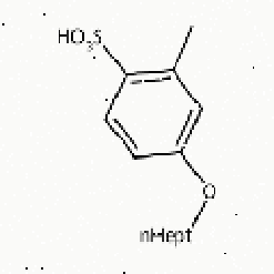 CCCCCCCOc1ccc(S(=O)(=O)O)c(C)c1